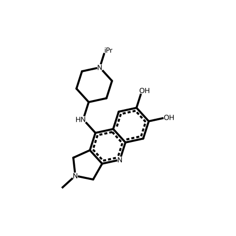 CC(C)N1CCC(Nc2c3c(nc4cc(O)c(O)cc24)CN(C)C3)CC1